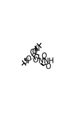 CC(C)(C)[Si](C)(C)OC[C@@]1(CCl)O[C@@H](n2ccc(=O)[nH]c2=O)CC1O[Si](C)(C)C(C)(C)C